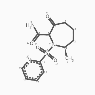 C[C@@H]1CC[CH]C(=O)C(C(N)=O)N1S(=O)(=O)c1ccccn1